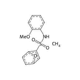 C.COc1ccccc1NS(=O)(=O)c1cc2ccc1o2